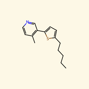 CCCCCc1ccc(-c2cnccc2C)s1